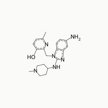 Cc1ccc(O)c(Cn2c(NC3CCN(C)CC3)nc3cc(N)ccc32)n1